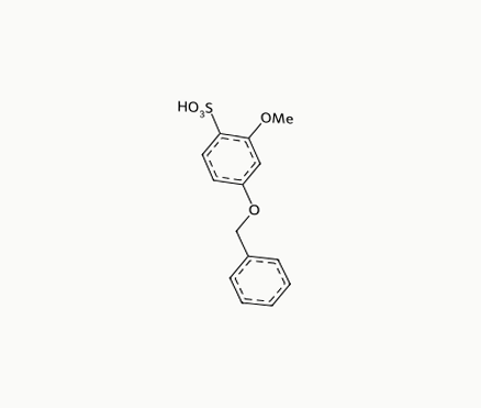 COc1cc(OCc2ccccc2)ccc1S(=O)(=O)O